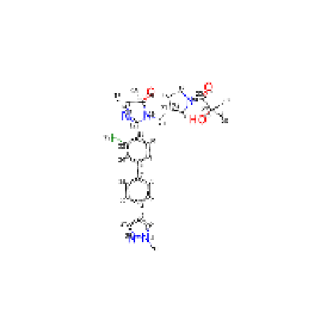 Cn1cc(-c2ccc(-c3ccc(C4=NC(C)(C)C(=O)N4C[C@@H]4CCN(C(=O)C5(O)CC5)C4)c(F)c3)cc2)cn1